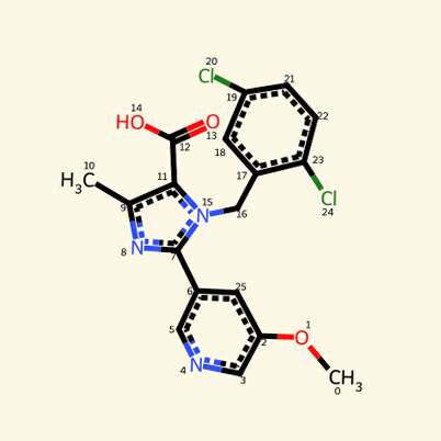 COc1cncc(-c2nc(C)c(C(=O)O)n2Cc2cc(Cl)ccc2Cl)c1